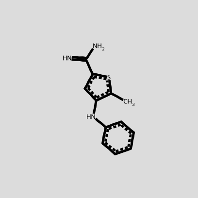 Cc1sc(C(=N)N)cc1Nc1ccccc1